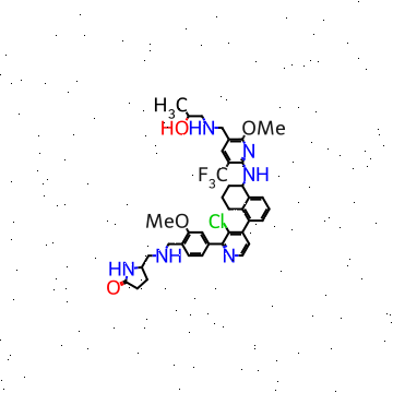 COc1cc(-c2nccc(-c3cccc4c3CCCC4Nc3nc(OC)c(CNCC(C)O)cc3C(F)(F)F)c2Cl)ccc1CNCC1CCC(=O)N1